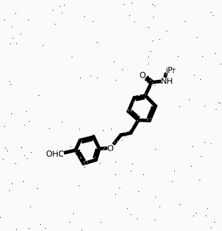 CC(C)NC(=O)c1ccc(CCOc2ccc(C=O)cc2)cc1